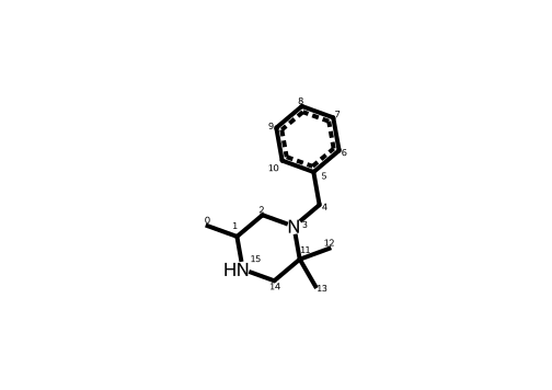 CC1CN(Cc2ccccc2)C(C)(C)CN1